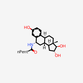 CCCCCC(=O)N[C@H]1C[C@@H]2[C@H](CC[C@]3(C)[C@@H](O)[C@H](O)C[C@@H]23)c2ccc(O)cc21